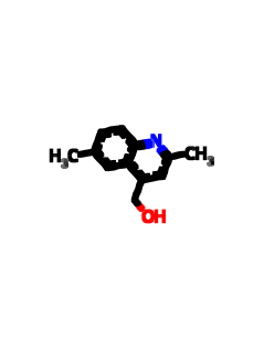 Cc1ccc2nc(C)cc(CO)c2c1